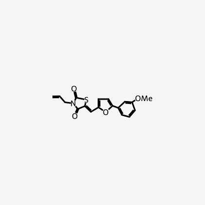 C=CCN1C(=O)S/C(=C\c2ccc(-c3cccc(OC)c3)o2)C1=O